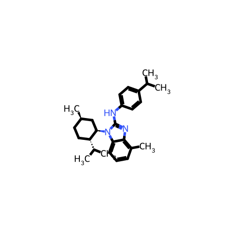 Cc1cccc2c1nc(Nc1ccc(C(C)C)cc1)n2[C@@H]1C[C@H](C)CC[C@H]1C(C)C